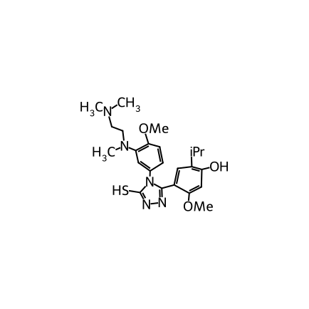 COc1cc(O)c(C(C)C)cc1-c1nnc(S)n1-c1ccc(OC)c(N(C)CCN(C)C)c1